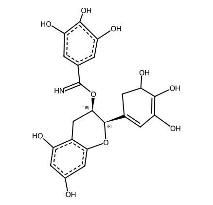 N=C(O[C@@H]1Cc2c(O)cc(O)cc2O[C@@H]1C1=CC(O)=C(O)C(O)C1)c1cc(O)c(O)c(O)c1